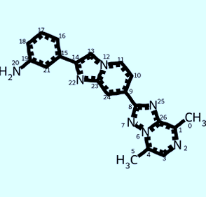 Cc1ncc(C)n2nc(-c3ccn4cc(-c5cccc(N)c5)nc4c3)nc12